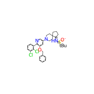 CC(C)(C)[S@@+]([O-])N[C@@H]1CCCC12CCN(c1cnc(-c3cccc(Cl)c3Cl)c(OCc3ccccc3)c1)CC2